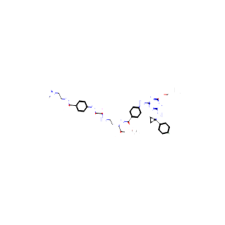 CCN(CC)CCNC(=O)c1ccc(NC(=O)C(=O)NCC[C@H](NC(=O)c2ccc(Nc3nc(NC4(c5ccc(Cl)cc5)CC4)nc(OCC(F)(F)F)n3)cc2)C(=O)OC)cc1